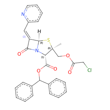 C[C@@]1(COC(=O)CCl)S[C@@H]2/C(=C\c3ccccn3)C(=O)N2[C@H]1C(=O)OC(c1ccccc1)c1ccccc1